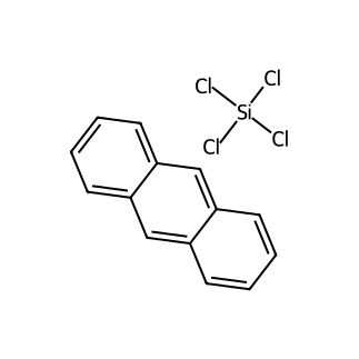 Cl[Si](Cl)(Cl)Cl.c1ccc2cc3ccccc3cc2c1